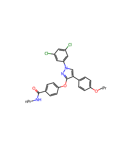 CCCNC(=O)c1ccc(Oc2nn(-c3cc(Cl)cc(Cl)c3)cc2-c2ccc(OC(C)C)cc2)cc1